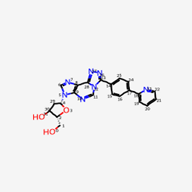 OC[C@H]1O[C@@H](n2cnc3c2ncn2c(-c4ccc(-c5ccccn5)cc4)nnc32)CC1O